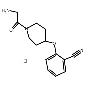 Cl.N#Cc1ccccc1OC1CCN(C(=O)CN)CC1